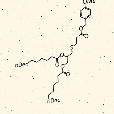 CCCCCCCCCCCCCCCC(=O)OCC(CSCCC(=O)OCc1ccc(OC)cc1)OC(=O)CCCCCCCCCCCCCCC